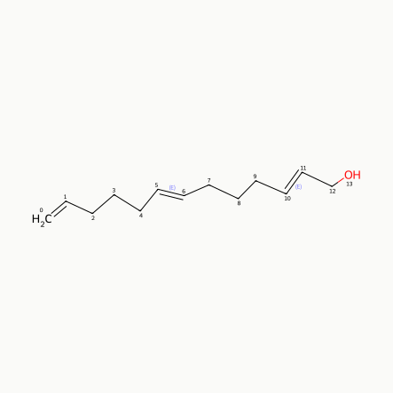 C=CCCC/C=C/CCC/C=C/CO